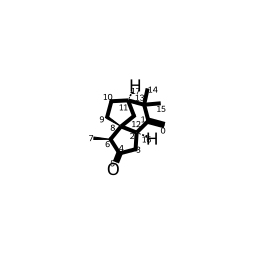 C=C1[C@H]2CC(=O)[C@@H](C)[C@@]23CC[C@H](C3)C1(C)C